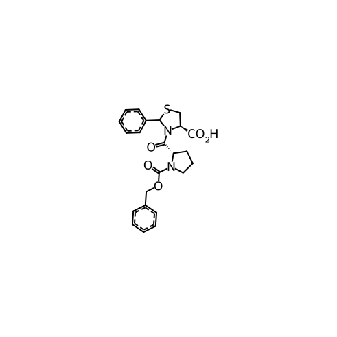 O=C(O)[C@@H]1CSC(c2ccccc2)N1C(=O)[C@@H]1CCCN1C(=O)OCc1ccccc1